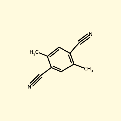 Cc1cc(C#N)c(C)cc1C#N